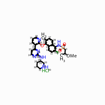 COC(C)CS(=O)(=O)Nc1c(F)ccc2c(Oc3ncccc3-c3ccnc(N[C@H]4CCCNC4)n3)c(C)ccc12.Cl